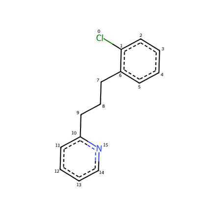 Clc1ccccc1CCCc1ccccn1